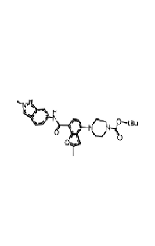 Cc1cc2c(N3CCN(C(=O)OC(C)(C)C)CC3)ccc(C(=O)Nc3ccc4cn(C)nc4c3)c2o1